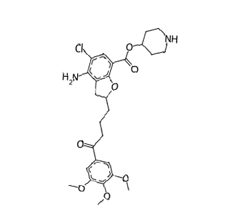 COc1cc(C(=O)CCCC2Cc3c(N)c(Cl)cc(C(=O)OC4CCNCC4)c3O2)cc(OC)c1OC